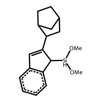 CO[SiH](OC)C1C(C2CC3CCC2C3)=Cc2ccccc21